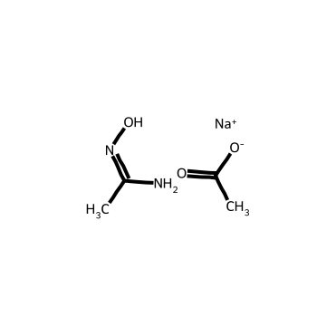 CC(=O)[O-].CC(N)=NO.[Na+]